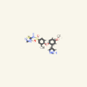 N#Cc1cc(S(=O)(=O)Nc2ncns2)ccc1Oc1ccc(OC(F)(F)F)cc1-c1cn[nH]c1